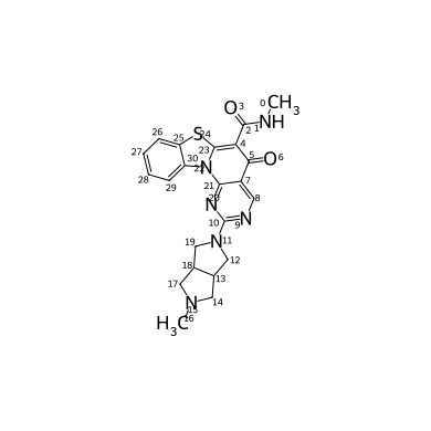 CNC(=O)c1c(=O)c2cnc(N3CC4CN(C)CC4C3)nc2n2c1sc1ccccc12